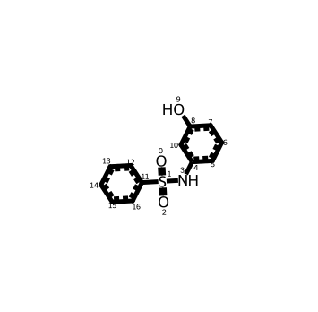 O=S(=O)(Nc1cccc(O)c1)c1ccccc1